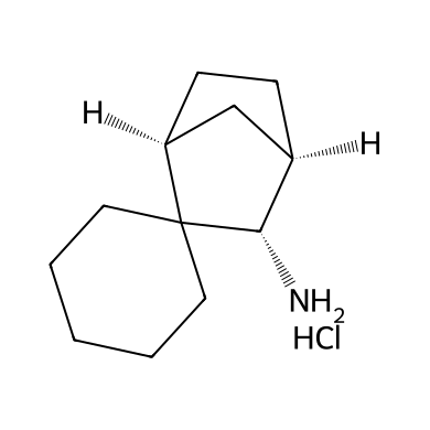 Cl.N[C@H]1[C@@H]2CC[C@@H](C2)C12CCCCC2